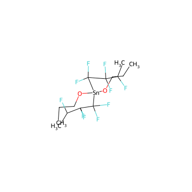 CCC[O][Sn]([O]CCC)([C](F)(F)C(F)(F)C(C)F)[C](F)(F)C(F)(F)C(C)F